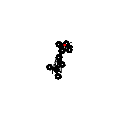 c1ccc(-c2nc(-c3ccccc3)nc(-c3cccc4c3oc3ccc(-c5cc(-c6cccc7sc8ccccc8c67)c6oc7ccccc7c6c5)cc34)n2)cc1